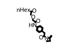 C=C1CCN1C(=O)Cc1ccc(NC(=O)COCC(=O)CCCCCC)cc1